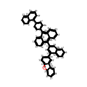 c1ccc2c(-c3ccc(-c4c5ccccc5c(-c5cc(-c6ccc7oc8ccccc8c7c6)c6ccccc6c5)c5ccccc45)cc3)cccc2c1